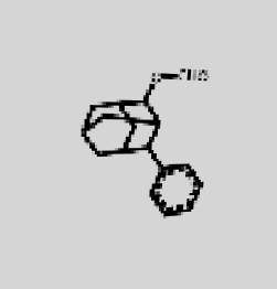 O=COC1C2CC3CC(C2)C(c2ccccc2)C1C3